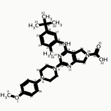 COc1ccc(N2CCN(c3nc4c(c(Nc5cc(C(C)(C)C)ccc5C)n3)CN(C(=O)O)C4)CC2)cc1